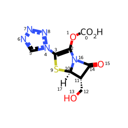 O=C(O)OC1=C(n2cnnn2)S[C@@H]2[C@@H](CO)C(=O)N12